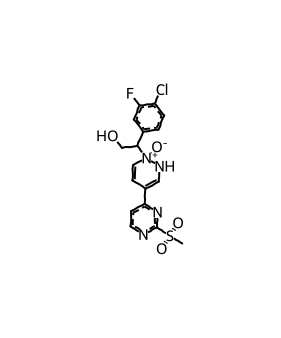 CS(=O)(=O)c1nccc(C2=CN[N+]([O-])(C(CO)c3ccc(Cl)c(F)c3)C=C2)n1